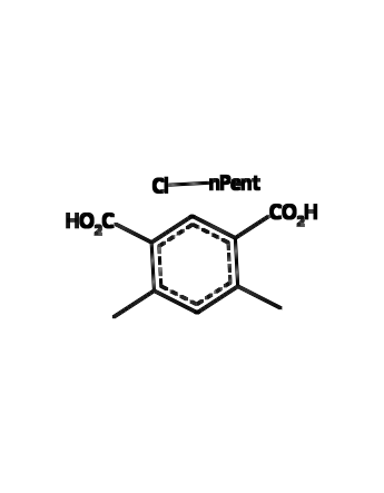 CCCCCCl.Cc1cc(C)c(C(=O)O)cc1C(=O)O